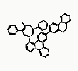 CC1=C(c2ccccc2)C=C(c2cccc3c4ccccc4c4cc(-c5ccc6c(c5)OCc5ccccc5-6)ccc4c23)C=C(c2ccccc2)C1